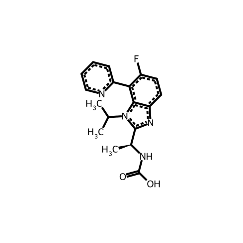 CC(C)n1c([C@H](C)NC(=O)O)nc2ccc(F)c(-c3ccccn3)c21